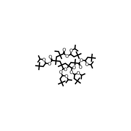 CCC(C)(CC(C)(CC(C)(CC(C)(CC(C)(C)C(=O)OC(CC(C)(C)C)OC(C)C)C(=O)OC(CC(C)(C)C)OC(C)C)C(=O)OC(CC(C)(C)C)OC(C)C)C(=O)OC(CC(C)(C)C)OC(C)C)C(=O)OC(CC(C)(C)C)OC(C)C